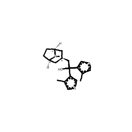 Cc1cscc1C(O)(C[C@H]1C[C@H]2CC[C@@H](C1)N2C)c1cscc1C